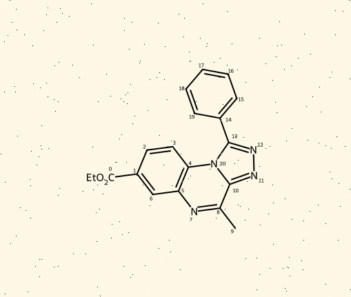 CCOC(=O)c1ccc2c(c1)nc(C)c1nnc(-c3ccccc3)n12